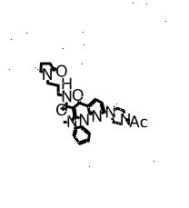 CC(=O)N1CCN(c2ccc3c(=O)c(C(=O)NCCCN4CCCC4=O)c4n(C)c5ccccc5n4c3n2)CC1